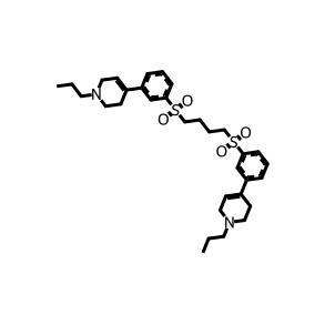 CCCN1CC=C(c2cccc(S(=O)(=O)CCCCS(=O)(=O)c3cccc(C4=CCN(CCC)CC4)c3)c2)CC1